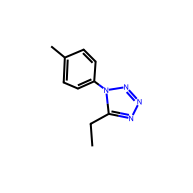 CCc1nnnn1-c1ccc(C)cc1